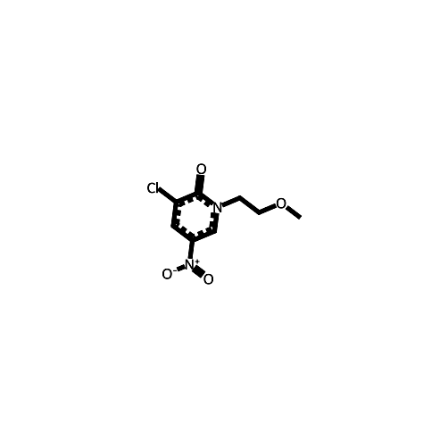 COCCn1cc([N+](=O)[O-])cc(Cl)c1=O